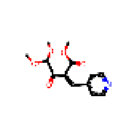 COC(=O)C(=Cc1ccncc1)C(=O)C(OC)OC